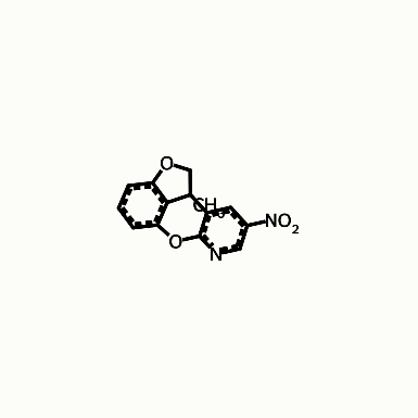 CC12COc3cccc(c31)Oc1ncc([N+](=O)[O-])cc12